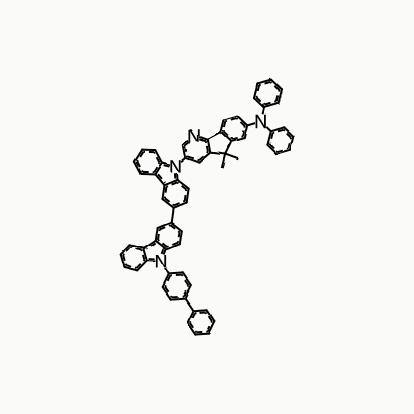 CC1(C)c2cc(N(c3ccccc3)c3ccccc3)ccc2-c2ncc(-n3c4ccccc4c4cc(-c5ccc6c(c5)c5ccccc5n6-c5ccc(-c6ccccc6)cc5)ccc43)cc21